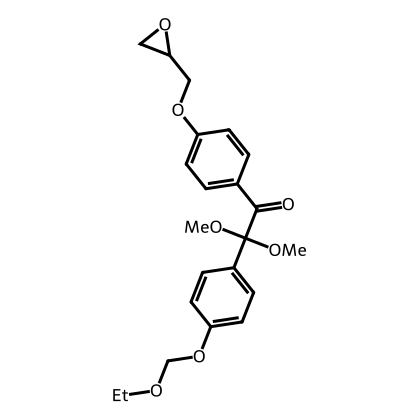 CCOCOc1ccc(C(OC)(OC)C(=O)c2ccc(OCC3CO3)cc2)cc1